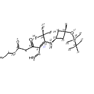 CCOC(=O)CC(=O)/C(C=N)=C(/N[C@H]1C[C@](C)(O[Si](C)(C)C(C)(C)C)C1)C(F)(F)F